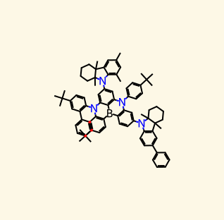 Cc1cc(C)c2c(c1)C1(C)CCCCC1(C)N2c1cc2c3c(c1)N(c1ccc(C(C)(C)C)cc1-c1ccccc1)c1cc(C(C)(C)C)ccc1B3c1ccc(N3c4ccc(-c5ccccc5)cc4C4(C)CCCCC34C)cc1N2c1ccc(C(C)(C)C)cc1